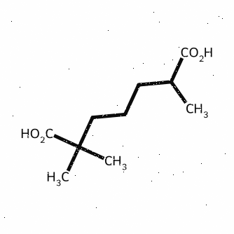 CC(CCCC(C)(C)C(=O)O)C(=O)O